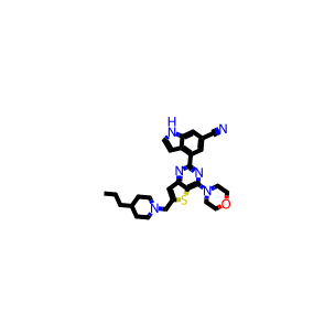 CCCC1CCN(Cc2cc3nc(-c4cc(C#N)cc5[nH]ccc45)nc(N4CCOCC4)c3s2)CC1